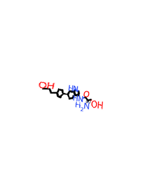 N[C@H](CO)C(=O)Nc1c[nH]c2cc(-c3ccc(CCCO)cc3)ccc12